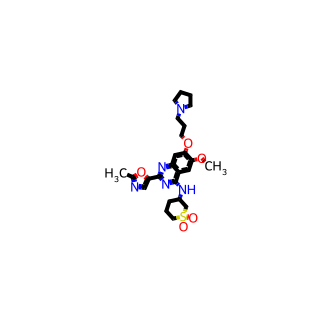 COc1cc2c(NC3CCCS(=O)(=O)C3)nc(-c3cnc(C)o3)nc2cc1OCCCN1CCCC1